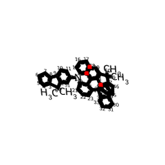 CC1(C)c2ccccc2-c2ccc(N(c3ccccc3)c3cccc(-c4cccc5ccccc45)c3-c3cccc4c3-c3ccccc3C4(C)C)cc21